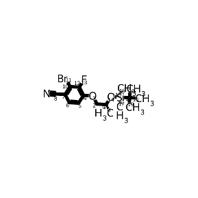 C[C@@H](COc1ccc(C#N)c(Br)c1F)O[Si](C)(C)C(C)(C)C